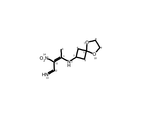 C/C(NC1CC2(C1)OCCO2)=C(/C=N)[N+](=O)[O-]